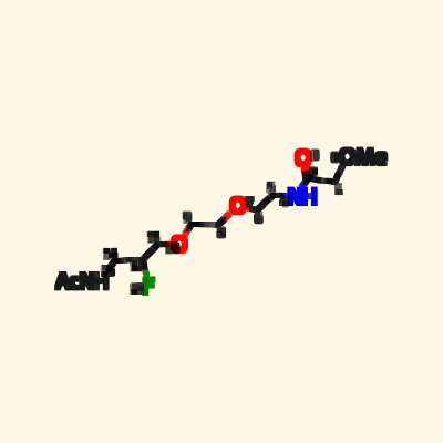 COCC(=O)NCCOCCOCC(F)CNC(C)=O